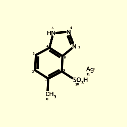 Cc1ccc2[nH]nnc2c1S(=O)(=O)O.[Ag]